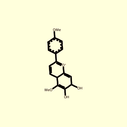 COC1=C(O)C(O)C=C2[O+]=C(c3ccc(OC)cc3)C=CC21